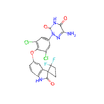 Nc1nn(-c2cc(Cl)c(Oc3ccc4c(c3)C3(CCC3(F)F)C(=O)N4)c(Cl)c2)c(=O)[nH]c1=O